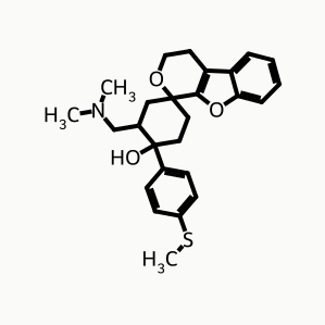 CSc1ccc(C2(O)CCC3(CC2CN(C)C)OCCc2c3oc3ccccc23)cc1